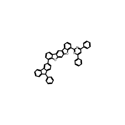 c1ccc(-c2cc(-c3ccccc3)nc(-c3cccc4c3oc3cc5oc6c(-c7ccc8c(c7)-c7ccccc7C8c7ccccc7)cccc6c5cc34)n2)cc1